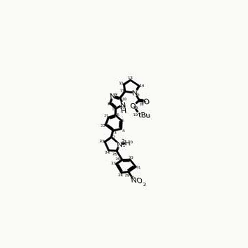 [2H]N1C(c2ccc(-c3cnc(C4CCCN4C(=O)OC(C)(C)C)[nH]3)cc2)CCC1c1ccc([N+](=O)[O-])cc1